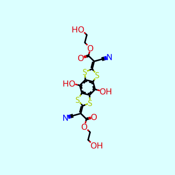 N#CC(C(=O)OCCO)=C1Sc2c(O)c3c(c(O)c2S1)SC(=C(C#N)C(=O)OCCO)S3